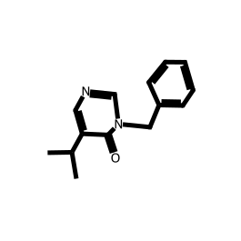 CC(C)c1cncn(Cc2ccccc2)c1=O